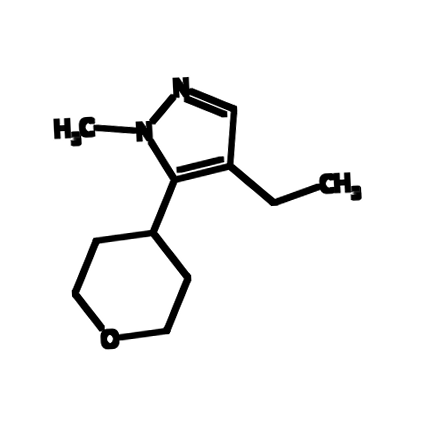 CCc1cnn(C)c1C1CCOCC1